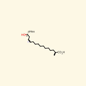 C=C(CCCCCCCCC/C=C\C[C@H](O)CCCCCC)C(=O)O